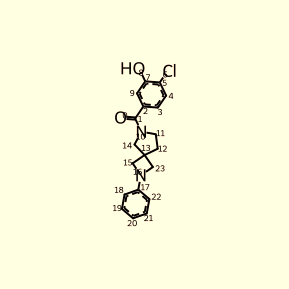 O=C(c1ccc(Cl)c(O)c1)N1CCC2(C1)CN(c1ccccc1)C2